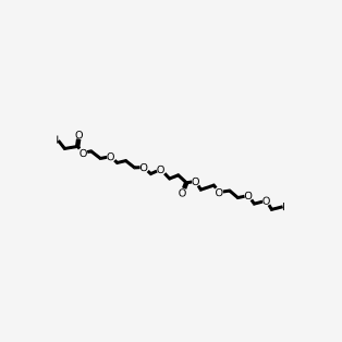 O=C(CI)OCCOCCCOCOCCC(=O)OCCOCCOCOCI